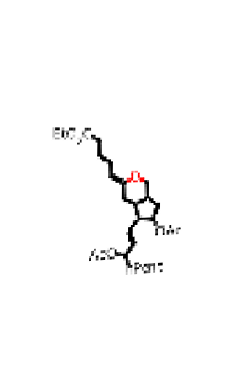 CCCCCC(/C=C/C1C(OC(C)=O)CC2CO/C(=C\CCCC(=O)OCC)CC21)OC(C)=O